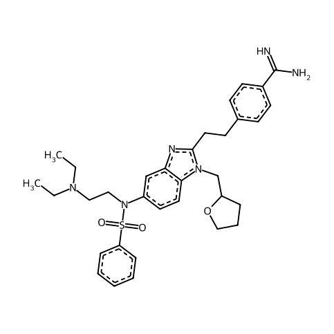 CCN(CC)CCN(c1ccc2c(c1)nc(CCc1ccc(C(=N)N)cc1)n2CC1CCCO1)S(=O)(=O)c1ccccc1